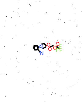 N#Cc1ccccc1N1CCC(OC(=O)COC(=O)C(F)(F)F)CC1